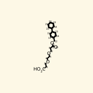 O=C(O)CCOCCOCCC(=O)OCc1ccc(-c2ccccc2)cc1